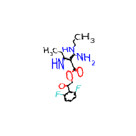 CCCN/C(N)=C(\C(=N)CC)C(=O)OCC(=O)c1c(F)cccc1F